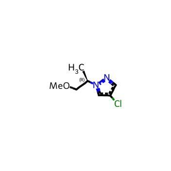 COC[C@@H](C)n1cc(Cl)cn1